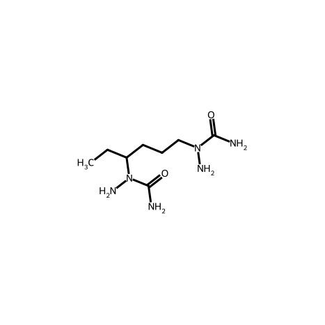 CCC(CCCN(N)C(N)=O)N(N)C(N)=O